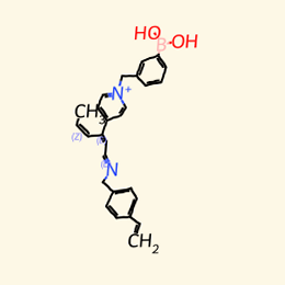 C=Cc1ccc(C/N=C/C=C(\C=C/C)c2cc[n+](Cc3cccc(B(O)O)c3)cc2)cc1